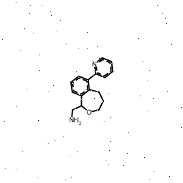 NCC1OCCCc2c(-c3ccccn3)cccc21